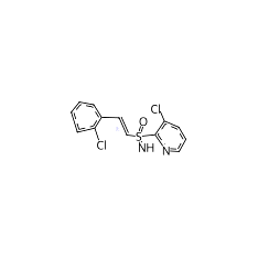 N=S(=O)(/C=C/c1ccccc1Cl)c1ncccc1Cl